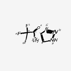 O=C(O)C(F)(F)F.c1c[nH]nn1